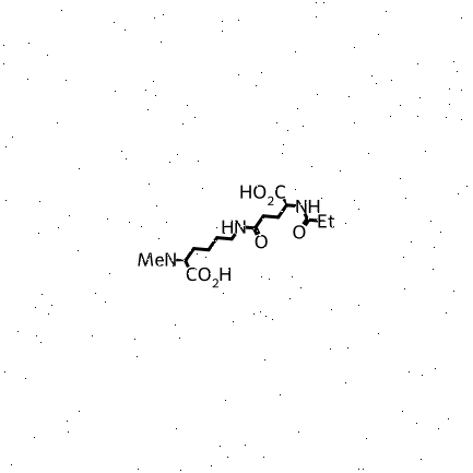 CCC(=O)N[C@@H](CCC(=O)NCCCC[C@H](NC)C(=O)O)C(=O)O